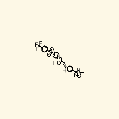 Cc1nc(-c2ccc(NCC(O)CN3CCN(S(=O)(=O)c4ccc(C(F)(F)F)cc4)CC3)cc2)no1